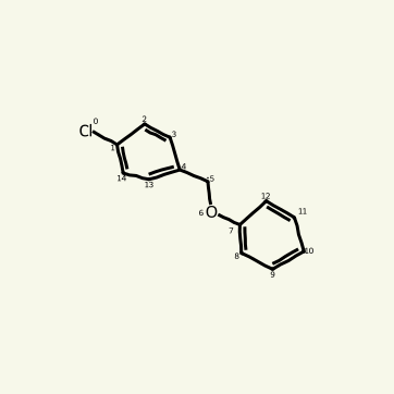 Clc1ccc([CH]Oc2ccccc2)cc1